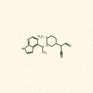 C[C@@H]1CCN(C(C#N)C=O)C[C@@H]1N(C)c1ncnc2[nH]ccc12